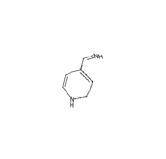 N=CC1=CCNC=C1